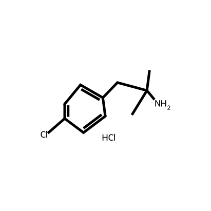 CC(C)(N)Cc1ccc(Cl)cc1.Cl